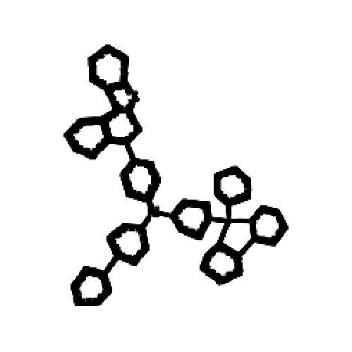 c1ccc(-c2ccc(N(c3ccc(-c4cc5sc6ccccc6c5c5ccccc45)cc3)c3ccc(C4(c5ccccc5)c5ccccc5-c5ccccc54)cc3)cc2)cc1